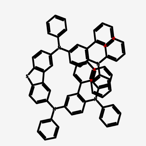 c1ccc(-c2cc(N(c3ccccc3)c3ccc4sc5ccc(N(c6ccccc6)c6ccc(N(c7ccccc7)c7ccccc7)c(-c7ccccc7)c6)cc5c4c3)ccc2N(c2ccccc2)c2ccccc2)cc1